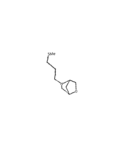 CSCCCN1CC2CC1CO2